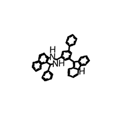 C1=CC2=C(c3cc(-c4ccccc4)cc(C4Nc5ccc6ccccc6c5C(c5ccccc5)N4)c3)c3ccccc3[C@@H]2C=C1